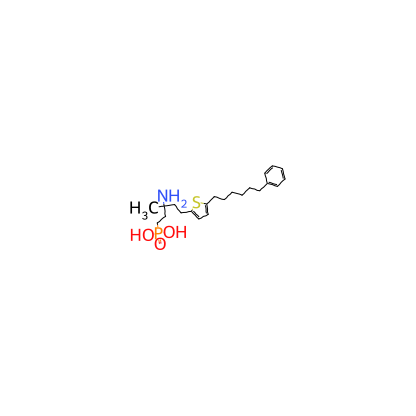 CC(N)(CCc1ccc(CCCCCCc2ccccc2)s1)CCP(=O)(O)O